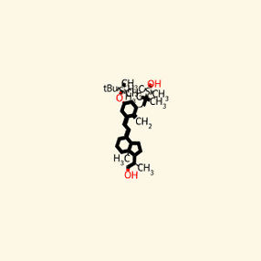 C=C1/C(=C\C=C2/CCC[C@@]3(C)C2CCC3[C@H](C)CO)C[C@@H](O[Si](C)(C)C(C)(C)C)C[C@@H]1CC(C)(C)[Si](C)(C)O